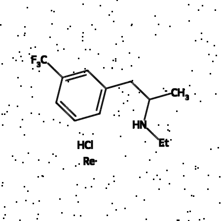 CCNC(C)Cc1cccc(C(F)(F)F)c1.Cl.[Re]